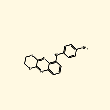 Nc1ccc(Nc2cccc3nc4c(nc23)SCCS4)cc1